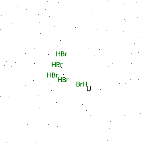 Br.Br.Br.Br.Br.[U]